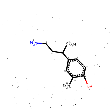 NCCC(C(=O)O)c1ccc(O)c([N+](=O)[O-])c1